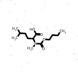 CCCCOC(=O)N(C)C(CCC(C)C)C(=O)O